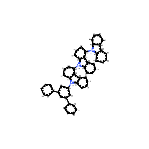 c1ccc(-c2cc(-c3ccccc3)cc(-n3c4ccccc4c4c(-n5c6ccccc6c6c(-n7c8ccccc8c8ccccc87)cccc65)cccc43)c2)cc1